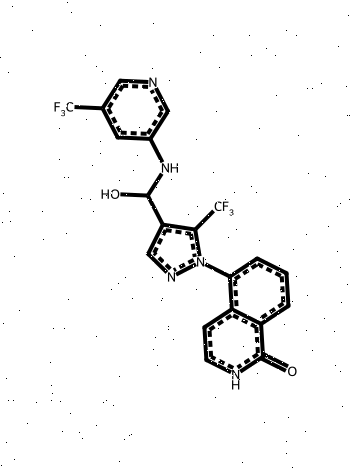 O=c1[nH]ccc2c(-n3ncc(C(O)Nc4cncc(C(F)(F)F)c4)c3C(F)(F)F)cccc12